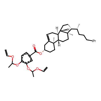 C=COC(C)Oc1ccc(C(=O)O[C@H]2CC[C@@]3(C)C(=CC[C@H]4[C@@H]5CC[C@H]([C@H](C)CCCC(C)C)[C@@]5(C)CC[C@@H]43)C2)cc1OC(C)OC=C